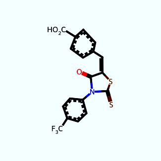 O=C(O)c1ccc(C=C2SC(=S)N(c3ccc(C(F)(F)F)cc3)C2=O)cc1